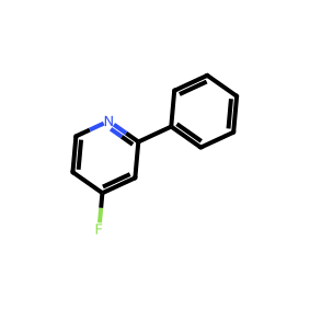 Fc1ccnc(-c2ccccc2)c1